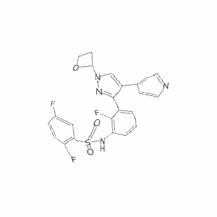 O=S(=O)(Nc1cccc(-c2nn(C3CCO3)cc2-c2ccncc2)c1F)c1cc(F)ccc1F